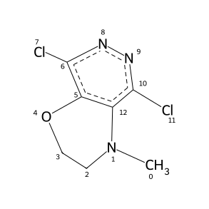 CN1CCOc2c(Cl)nnc(Cl)c21